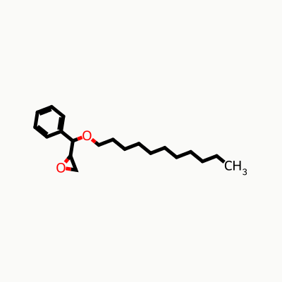 CCCCCCCCCCCOC(c1ccccc1)C1CO1